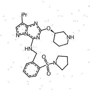 CC(C)c1cnn2c(NCc3ccccc3S(=O)(=O)N3CCCC3)nc(O[C@@H]3CCCNC3)nc12